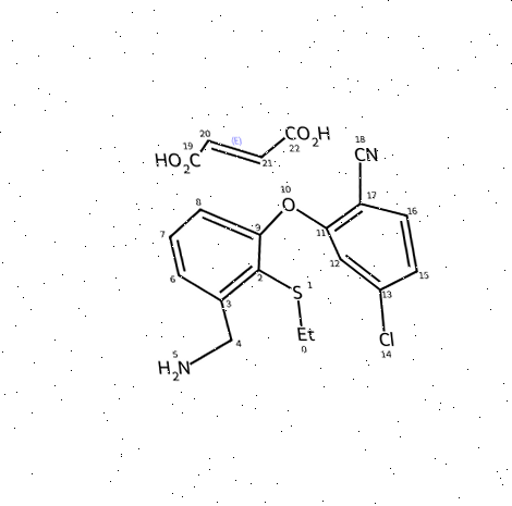 CCSc1c(CN)cccc1Oc1cc(Cl)ccc1C#N.O=C(O)/C=C/C(=O)O